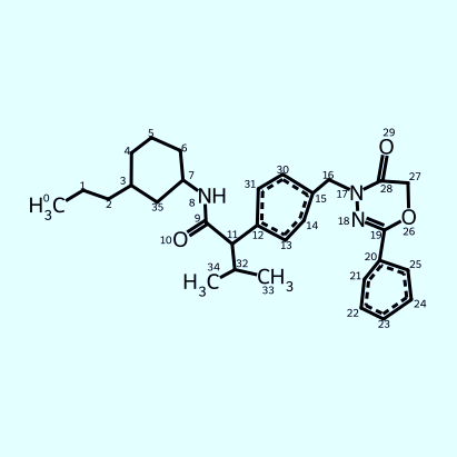 CCCC1CCCC(NC(=O)C(c2ccc(CN3N=C(c4ccccc4)OCC3=O)cc2)C(C)C)C1